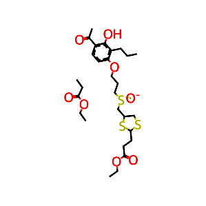 CCCc1c(OCCC[S+]([O-])CC2CSC(CCC(=O)OCC)S2)ccc(C(C)=O)c1O.CCOC(=O)CC